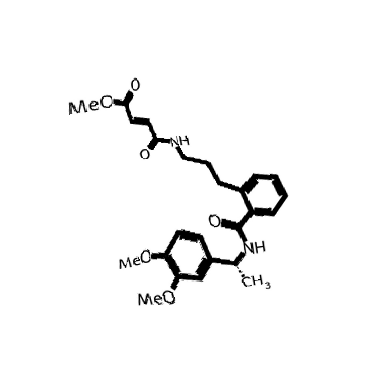 COC(=O)/C=C/C(=O)NCCCc1ccccc1C(=O)N[C@H](C)c1ccc(OC)c(OC)c1